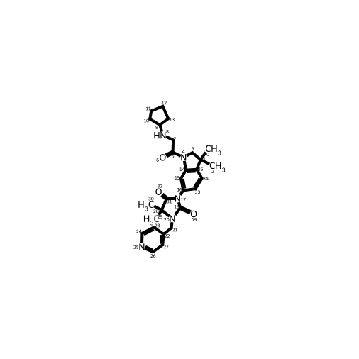 CC1(C)CN(C(=O)CNC2CCCC2)c2cc(N3C(=O)N(Cc4ccncc4)C(C)(C)C3=O)ccc21